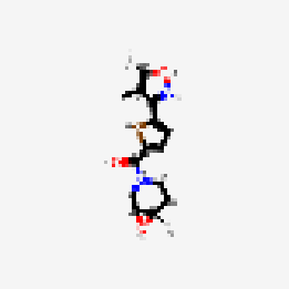 Cc1c(-c2ccc(C(=O)N3CC[C@H]4OC4C3)s2)noc1C(F)(F)F